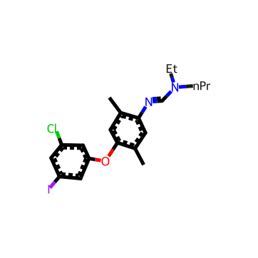 CCCN(/C=N/c1cc(C)c(Oc2cc(Cl)cc(I)c2)cc1C)CC